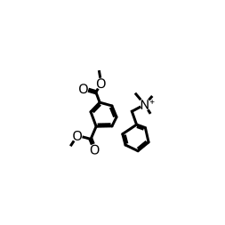 COC(=O)c1cccc(C(=O)OC)c1.C[N+](C)(C)Cc1ccccc1